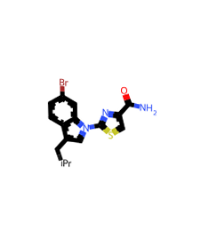 CC(C)Cc1cn(-c2nc(C(N)=O)cs2)c2cc(Br)ccc12